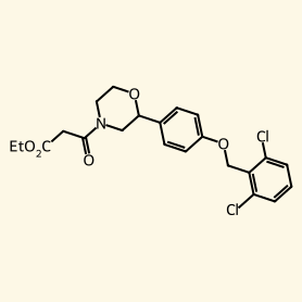 CCOC(=O)CC(=O)N1CCOC(c2ccc(OCc3c(Cl)cccc3Cl)cc2)C1